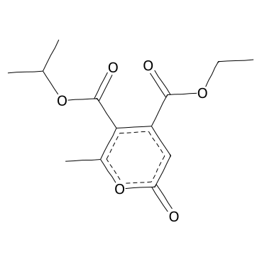 CCOC(=O)c1cc(=O)oc(C)c1C(=O)OC(C)C